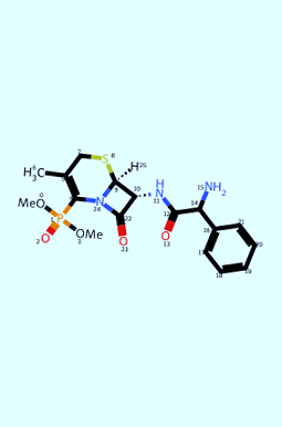 COP(=O)(OC)C1=C(C)CS[C@H]2[C@H](NC(=O)C(N)c3ccccc3)C(=O)N12